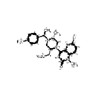 COC[C@H]1CN(C(C)c2ccc(C(F)(F)F)cc2)[C@H](C)CN1c1nc(=O)n(C)c2ccc(Cl)nc12